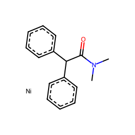 CN(C)C(=O)C(c1ccccc1)c1ccccc1.[Ni]